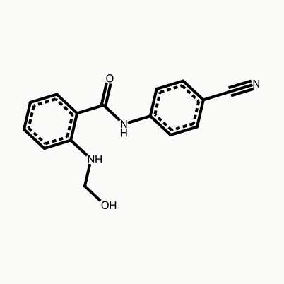 N#Cc1ccc(NC(=O)c2ccccc2NCO)cc1